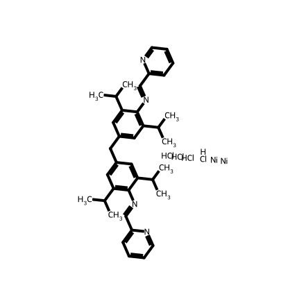 CC(C)c1cc(Cc2cc(C(C)C)c(N=Cc3ccccn3)c(C(C)C)c2)cc(C(C)C)c1N=Cc1ccccn1.Cl.Cl.Cl.Cl.[Ni].[Ni]